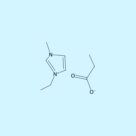 CCC(=O)[O-].CC[n+]1ccn(C)c1